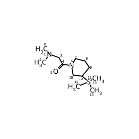 CN(C)CC(=O)N1CCCC(S(C)(C)C)C1